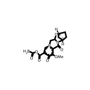 BC(=O)OC(=O)c1cn2c(c(OC)c1=O)C(=O)N1C(C2)O[C@@H]2CC[C@H]1C2